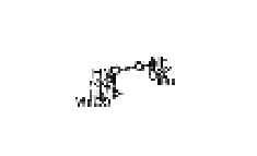 CC[C@H](C)C(=O)N1CC2(CC2)C[C@H]1c1nc(-c2ccc(C#Cc3ccc4[nH]c([C@@H]5CC6(CC6)CN5C(=O)[C@@H](NC(=O)OC)C(C)C)nc4c3)cc2)c[nH]1